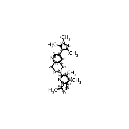 Cc1nn(C)c(C)c1-c1cnc2c(c1)CN(c1nn3c(C)nnc3c(C)c1C)CC2